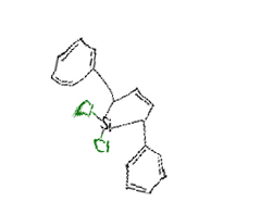 Cl[Si]1(Cl)C(c2ccccc2)C=CC1c1ccccc1